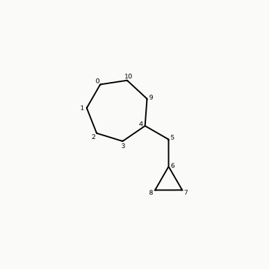 C1CCCC(CC2CC2)CC1